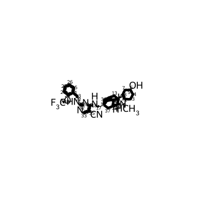 CN([C@H]1CC[C@@H](O)CC1)[C@@H]1[C@@H]2CC3C[C@H]1C[C@](CNc1nc(NCc4ccccc4OC(F)(F)F)ncc1C#N)(C3)C2